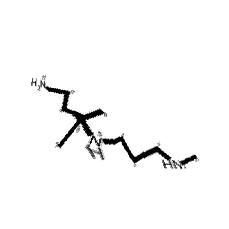 CNCCCNC(C)(C)CCN